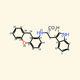 O=C(O)[C@H](Cc1c[nH]c2ccccc12)Nc1cccc2c1Cc1ccccc1O2